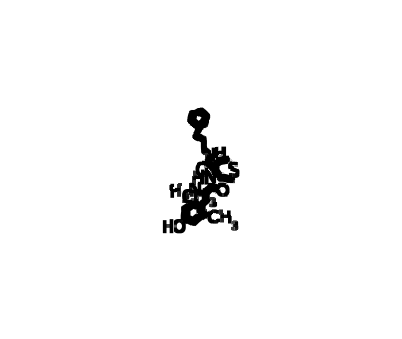 Cc1cc(O)cc(C)c1C[C@H](N)C(=O)NC1(C(=O)NCCCc2ccccc2)CCSCC1